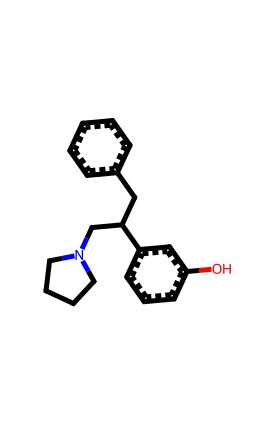 Oc1cccc(C(Cc2ccccc2)CN2CCCC2)c1